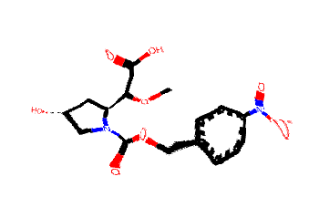 COC(C(=O)O)[C@@H]1C[C@@H](O)CN1C(=O)OCc1ccc([N+](=O)[O-])cc1